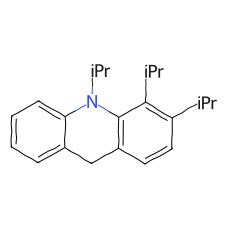 CC(C)c1ccc2c(c1C(C)C)N(C(C)C)c1ccccc1C2